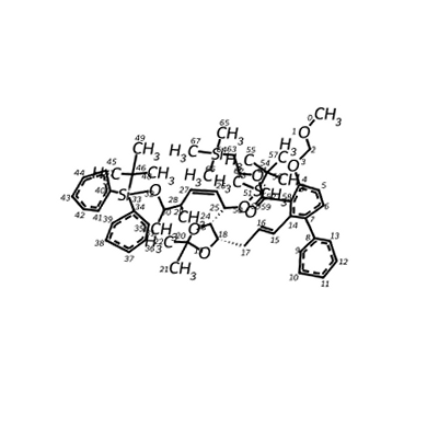 COCOc1ccc(-c2ccccc2)c(/C=C/C[C@@H]2OC(C)(C)O[C@@H]2C(/C=C\[C@@H](C)C(C)O[Si](c2ccccc2)(c2ccccc2)C(C)(C)C)O[Si](C)(C)C(C)(C)C)c1C(=O)OCC[Si](C)(C)C